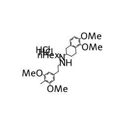 CCCCCCN(NCCc1cc(OC)c(C)c(OC)c1)C1CCc2c(ccc(OC)c2OC)C1.Cl.Cl